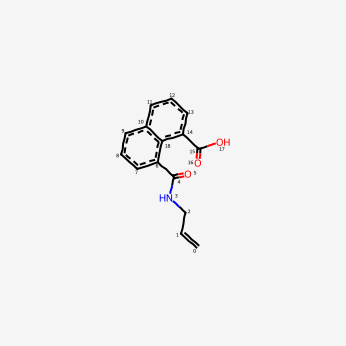 C=CCNC(=O)c1cccc2cccc(C(=O)O)c12